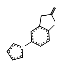 O=C1Cc2cc(-n3cccc3)ccc2N1